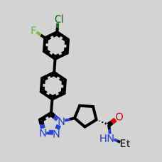 CCNC(=O)[C@H]1CCC(n2nncc2-c2ccc(-c3ccc(Cl)c(F)c3)cc2)C1